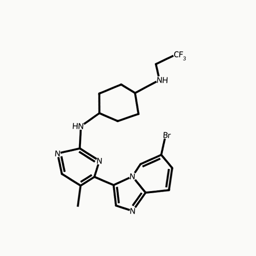 Cc1cnc(NC2CCC(NCC(F)(F)F)CC2)nc1-c1cnc2ccc(Br)cn12